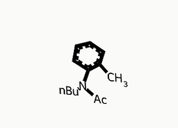 CCCCN(C(C)=O)c1ccccc1C